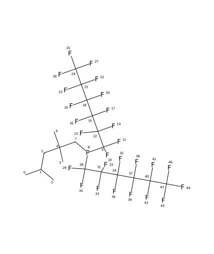 CC(C)CC(C)(C)CP(C(F)(F)C(F)(F)C(F)(F)C(F)(F)C(F)(F)C(F)(F)F)C(F)(F)C(F)(F)C(F)(F)C(F)(F)C(F)(F)C(F)(F)F